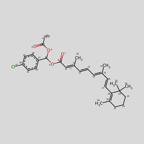 CCCC(=O)OC(OC(=O)/C=C(\C)C=CC=C(C)C=CC1=C(C)CCCC1(C)C)c1ccc(Cl)cc1